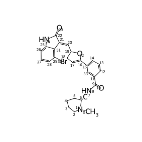 CN1CCCCC1CNC(=O)c1cccc(C2=CCC(/C=C3/C(=O)Nc4cccc(Br)c43)O2)c1